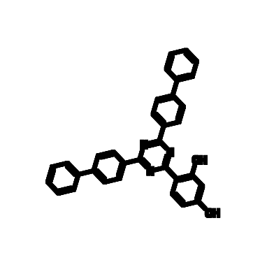 Oc1ccc(-c2nc(-c3ccc(-c4ccccc4)cc3)nc(-c3ccc(-c4ccccc4)cc3)n2)c(O)c1